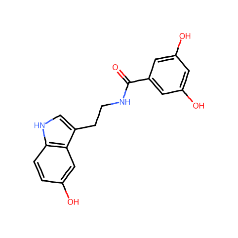 O=C(NCCc1c[nH]c2ccc(O)cc12)c1cc(O)cc(O)c1